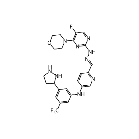 Fc1cnc(N/N=C/c2ccc(Nc3cc(C4CCNN4)cc(C(F)(F)F)c3)cn2)nc1N1CCOCC1